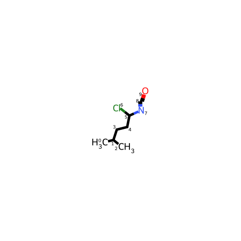 CC(C)CCC(Cl)N=C=O